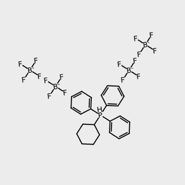 F[B-](F)(F)F.F[B-](F)(F)F.F[B-](F)(F)F.F[B-](F)(F)F.c1ccc([PH](c2ccccc2)(c2ccccc2)C2CCCCC2)cc1